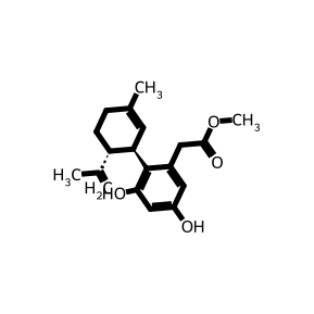 C=C(C)[C@@H]1CCC(C)=C[C@H]1c1c(O)cc(O)cc1CC(=O)OC